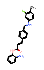 CSc1ccc(NCc2ccc(/C=C/C(=O)Bc3ccccc3N)cc2)cc1F